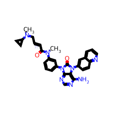 CN(C(=O)/C=C/CN(C)C1CC1)c1cccc(-n2c(=O)n(-c3ccc4ncccc4c3)c3c(N)ncnc32)c1